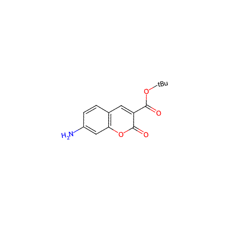 CC(C)(C)OC(=O)c1cc2ccc(N)cc2oc1=O